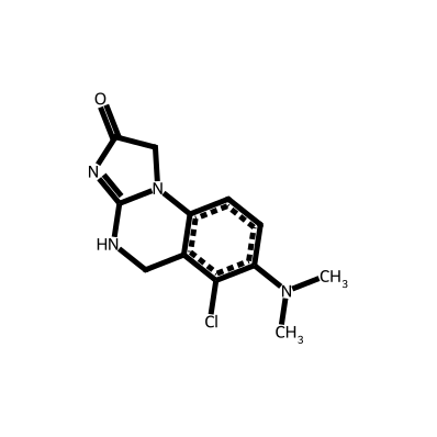 CN(C)c1ccc2c(c1Cl)CNC1=NC(=O)CN12